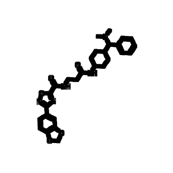 CN(C)C(c1ccccc1)C1CCC(NC(=O)CCNC(=O)c2nc(-c3ccc4c(c3)OCO4)no2)CC1